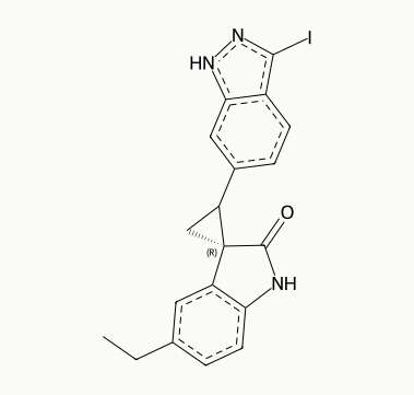 CCc1ccc2c(c1)[C@]1(CC1c1ccc3c(I)n[nH]c3c1)C(=O)N2